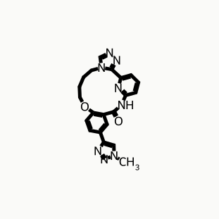 Cn1cc(-c2ccc3c(c2)C(=O)Nc2cccc(n2)-c2nncn2CCCCO3)nn1